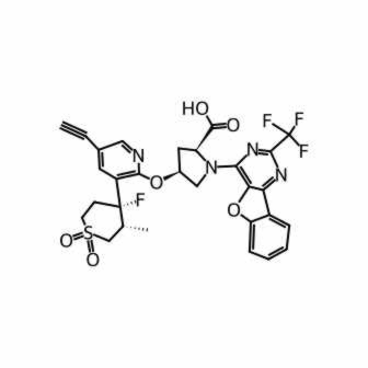 C#Cc1cnc(O[C@H]2C[C@@H](C(=O)O)N(c3nc(C(F)(F)F)nc4c3oc3ccccc34)C2)c([C@]2(F)CCS(=O)(=O)C[C@H]2C)c1